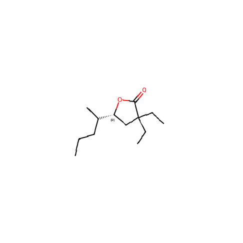 CCCC(C)[C@H]1CC(CC)(CC)C(=O)O1